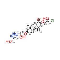 CC(C)(c1ccc(OCC(O)Cn2cc(CO)nn2)cc1)c1ccc(OCC(O)CCl)c(Br)c1